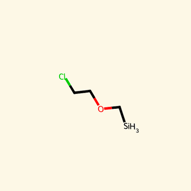 [SiH3]COCCCl